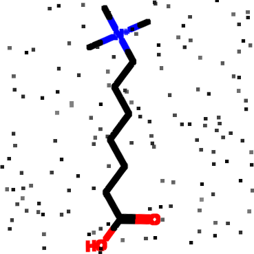 C[N+](C)(C)CCCCCCC(=O)O